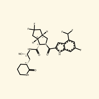 N#C[C@@H](C[C@H]1CCCNC1=O)NC(=O)[C@@H]1[C@@H]2CC(F)(F)C[C@@H]2CN1C(=O)c1cc2c(C(F)F)cc(F)cc2[nH]1